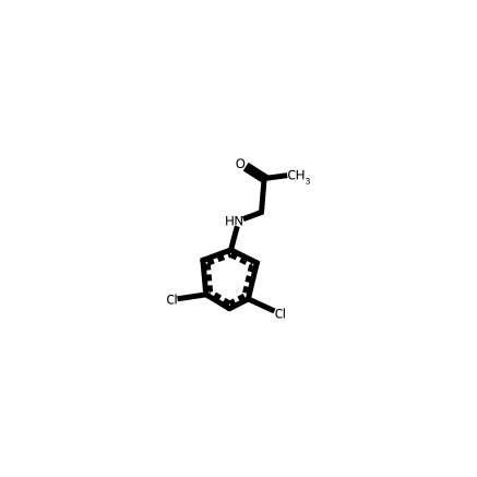 CC(=O)CNc1cc(Cl)cc(Cl)c1